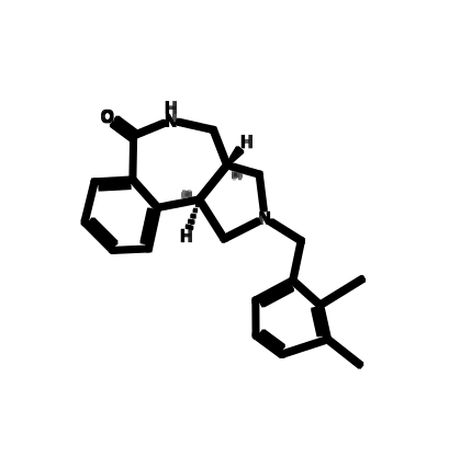 Cc1cccc(CN2C[C@H]3CNC(=O)c4ccccc4[C@@H]3C2)c1C